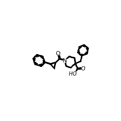 O=C(C1CC1c1ccccc1)N1CCC(Cc2ccccc2)(C(=O)O)CC1